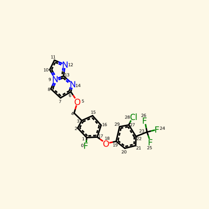 Fc1cc(COc2ccn3ccnc3n2)ccc1Oc1ccc(C(F)(F)F)c(Cl)c1